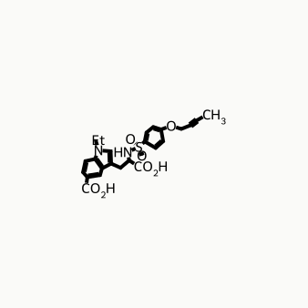 CC#CCOc1ccc(S(=O)(=O)NC(Cc2cn(CC)c3ccc(C(=O)O)cc23)C(=O)O)cc1